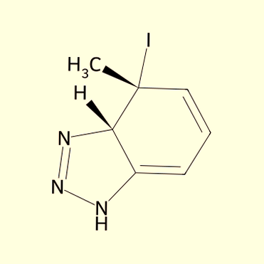 C[C@@]1(I)C=CC=C2NN=N[C@@H]21